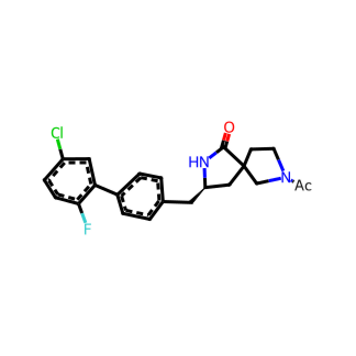 CC(=O)N1CCC2(C[C@@H](Cc3ccc(-c4cc(Cl)ccc4F)cc3)NC2=O)C1